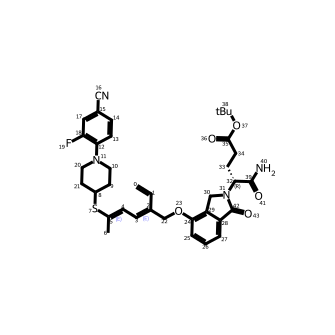 C=C/C(=C\C=C(/C)SC1CCN(c2ccc(C#N)cc2F)CC1)COc1cccc2c1CN([C@H](CCC(=O)OC(C)(C)C)C(N)=O)C2=O